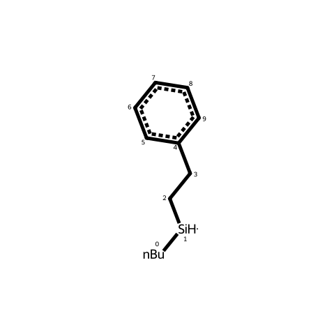 CCCC[SiH]CCc1ccccc1